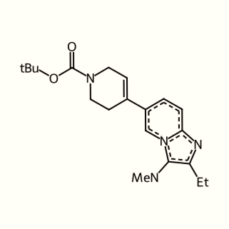 CCc1nc2ccc(C3=CCN(C(=O)OC(C)(C)C)CC3)cn2c1NC